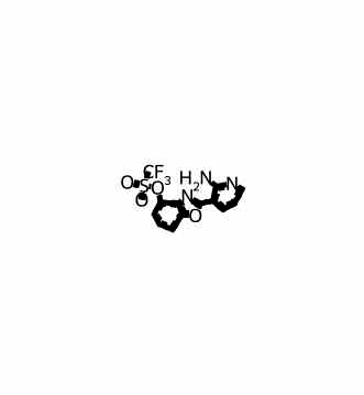 Nc1ncccc1-c1nc2c(OS(=O)(=O)C(F)(F)F)cccc2o1